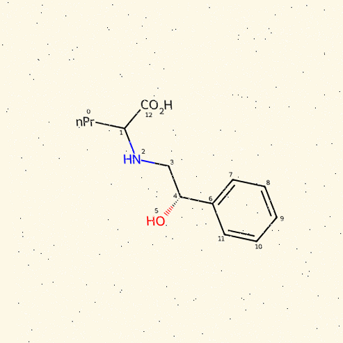 CCCC(NC[C@@H](O)c1ccccc1)C(=O)O